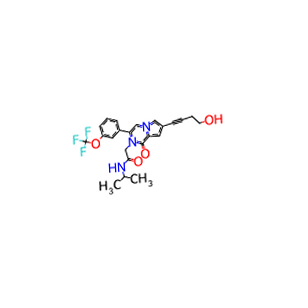 CC(C)NC(=O)Cn1c(-c2cccc(OC(F)(F)F)c2)cn2cc(C#CCCO)cc2c1=O